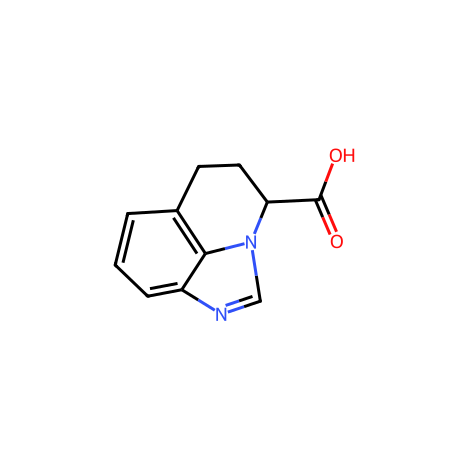 O=C(O)C1CCc2cccc3ncn1c23